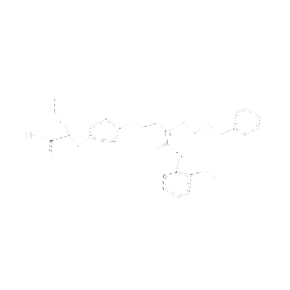 CCOC(Cc1ccc(OCCN(CCCCc2ccccc2)C(=O)Nc2ccccc2OC)cc1)C(=O)O